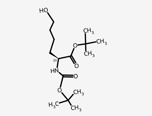 CC(C)(C)OC(=O)N[C@@H](CCCCO)C(=O)OC(C)(C)C